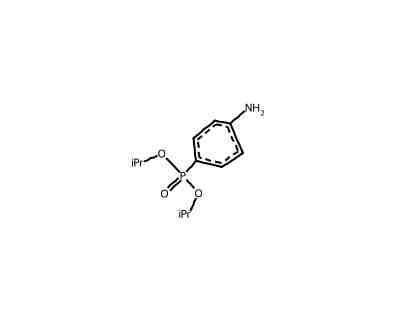 CC(C)OP(=O)(OC(C)C)c1ccc(N)cc1